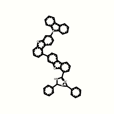 c1ccc(C2NC(c3cccc4c3oc3cc(-c5cccc6oc7cc(-n8c9ccccc9c9ccccc98)ccc7c56)ccc34)=[N+]3C(c4ccccc4)N23)cc1